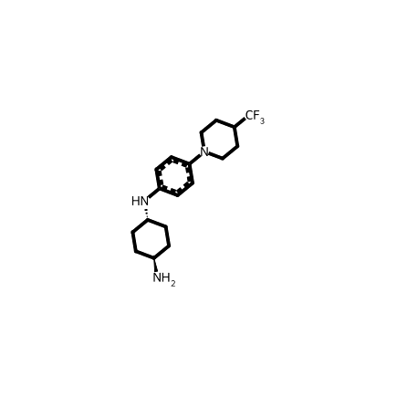 N[C@H]1CC[C@H](Nc2ccc(N3CCC(C(F)(F)F)CC3)cc2)CC1